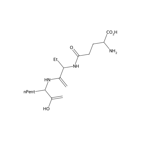 C=C(O)C(CCCCC)NC(=C)C(CC)NC(=O)CCC(N)C(=O)O